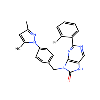 Cc1cc(C#N)n(-c2ccc(Cn3c(=O)[nH]c4cnc(-c5ccccc5C(C)C)nc43)cc2)n1